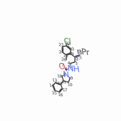 CCC/C=C(/CCNC(=O)N1CCC(c2ccccc2)C1)c1cc(Cl)ccc1C